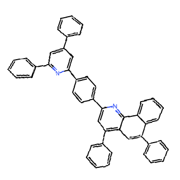 c1ccc(-c2cc(-c3ccccc3)nc(-c3ccc(-c4cc(-c5ccccc5)c5cc(-c6ccccc6)c6ccccc6c5n4)cc3)c2)cc1